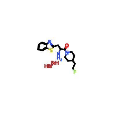 Br.Br.N[C@@H](Cc1nc2ccccc2s1)C(=O)N1CCC(CCF)CC1